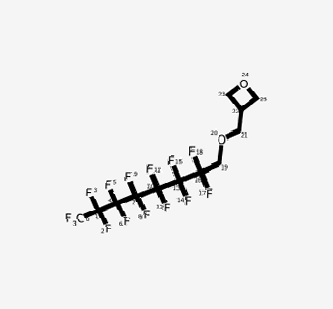 FC(F)(F)C(F)(F)C(F)(F)C(F)(F)C(F)(F)C(F)(F)C(F)(F)COCC1COC1